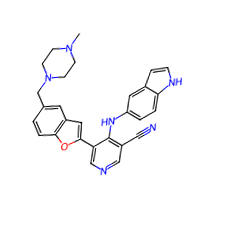 CN1CCN(Cc2ccc3oc(-c4cncc(C#N)c4Nc4ccc5[nH]ccc5c4)cc3c2)CC1